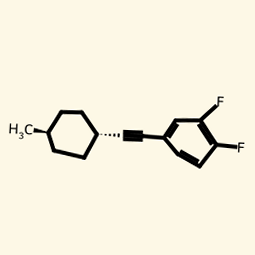 C[C@H]1CC[C@H](C#Cc2ccc(F)c(F)c2)CC1